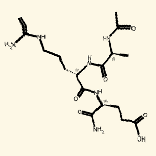 C=C(N)NCCC[C@H](NC(=O)[C@H](C)NC(C)=O)C(=O)N[C@@H](CCC(=O)O)C(N)=O